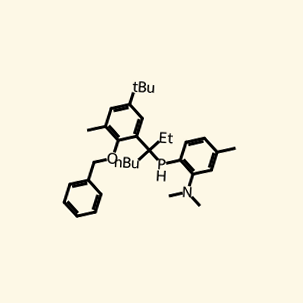 CCCCC(CC)(Pc1ccc(C)cc1N(C)C)c1cc(C(C)(C)C)cc(C)c1OCc1ccccc1